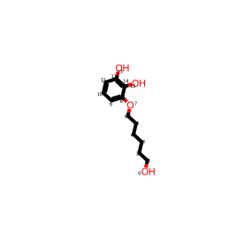 OCCCCCCOc1cc[c]c(O)c1O